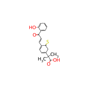 CC(C)(C(=O)O)C1=CC=C(C=CC(=O)c2ccccc2O)C(=S)C1